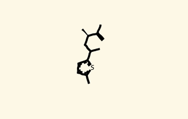 C=C(C)[C@H](C)CC(C)c1ccc(C)s1